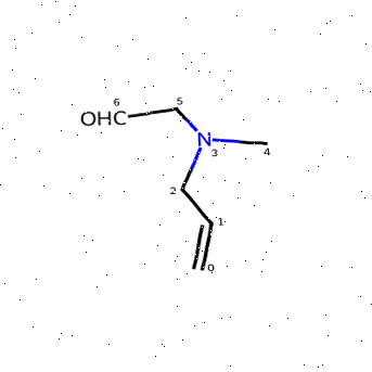 C=CCN(C)CC=O